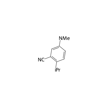 CNc1ccc(C(C)C)c(C#N)c1